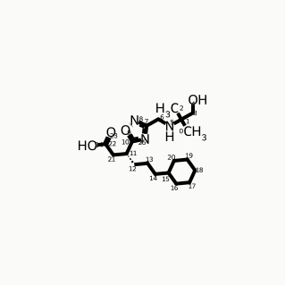 CC(C)(CO)NCc1noc([C@H](CCCC2CCCCC2)CC(=O)O)n1